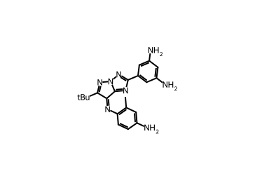 Cc1cc(N)ccc1/N=C1/C(C(C)(C)C)=Nn2nc(-c3cc(N)cc(N)c3)nc21